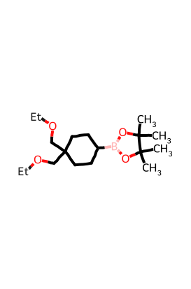 CCOCC1(COCC)CCC(B2OC(C)(C)C(C)(C)O2)CC1